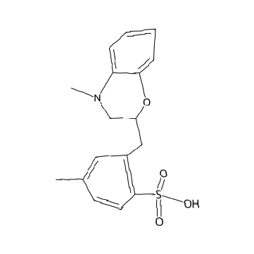 Cc1ccc(S(=O)(=O)O)c(CC2CN(C)c3ccccc3O2)c1